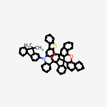 CC1(C)c2ccccc2-c2ccc(N(c3ccc4sc5ccccc5c4c3)c3ccccc3-c3cccc4c3-c3ccccc3C43c4ccc5ccccc5c4Oc4c3ccc3ccccc43)cc21